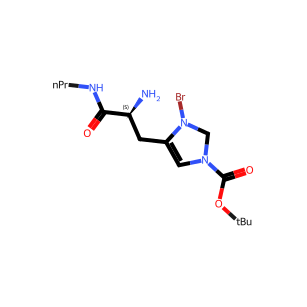 CCCNC(=O)[C@@H](N)CC1=CN(C(=O)OC(C)(C)C)CN1Br